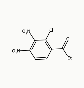 CCC(=O)c1ccc([N+](=O)[O-])c([N+](=O)[O-])c1Cl